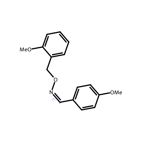 COc1ccc(/[C]=N\OCc2ccccc2OC)cc1